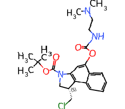 CN(C)CCNC(=O)Oc1cc2c(c3ccccc13)[C@H](CCl)CN2C(=O)OC(C)(C)C